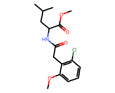 COC(=O)C(CC(C)C)NC(=O)Cc1c(Cl)cccc1OC